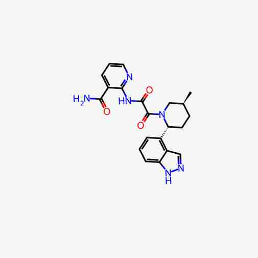 C[C@H]1CC[C@H](c2cccc3[nH]ncc23)N(C(=O)C(=O)Nc2ncccc2C(N)=O)C1